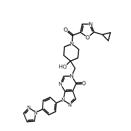 O=C(c1cnc(C2CC2)o1)N1CCC(O)(Cn2cnc3c(cnn3-c3ccc(-n4cccn4)cc3)c2=O)CC1